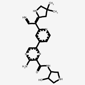 CC1(C)CN/C(=C(\C=N)c2cc(-c3cnc(N)c(C(=O)NC4CNCC4O)n3)ccn2)C1